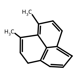 CC1=CCc2cccc3ccc(C)c1c23